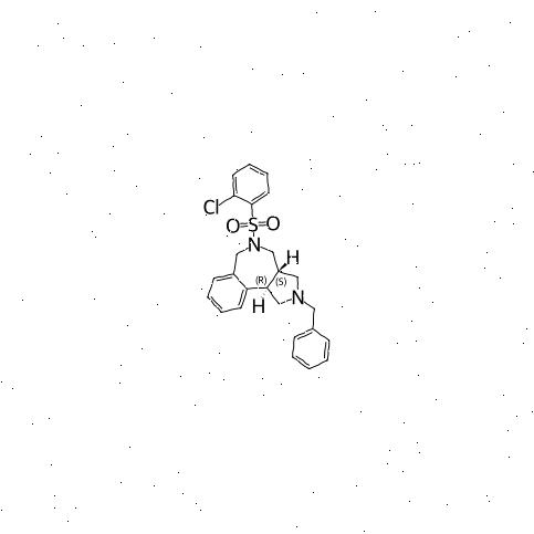 O=S(=O)(c1ccccc1Cl)N1Cc2ccccc2[C@@H]2CN(Cc3ccccc3)C[C@H]2C1